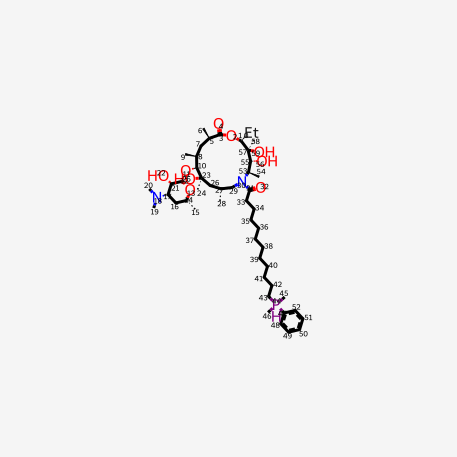 CC[C@H]1OC(=O)[C@H](C)C[C@H](C)[C@@H](O[C@@H]2O[C@H](C)C[C@H](N(C)C)[C@H]2O)[C@](C)(O)C[C@@H](C)CN(C(=O)CCCCCCCCCCC[PH](C)(C)c2ccccc2)[C@H](C)[C@@H](O)[C@]1(C)O